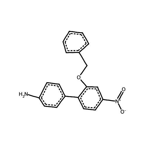 Nc1ccc(-c2ccc([N+](=O)[O-])cc2OCc2ccccc2)cc1